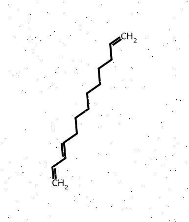 C=CC=CCCCCCCCC=C